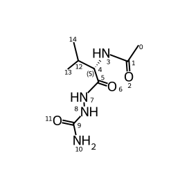 CC(=O)N[C@H](C(=O)NNC(N)=O)C(C)C